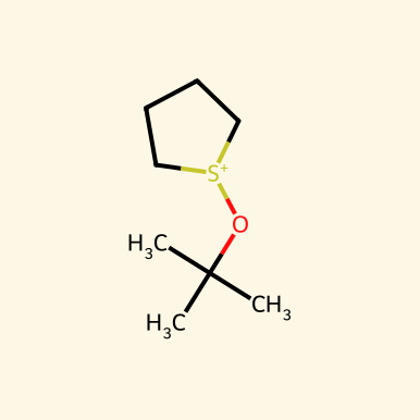 CC(C)(C)O[S+]1CCCC1